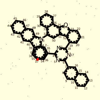 c1ccc(-c2nc(-c3ccc4ccccc4c3)nc(-c3cccc4oc5c6ccccc6c(-n6c7ccccc7c7cc8ccccc8cc76)cc5c34)n2)cc1